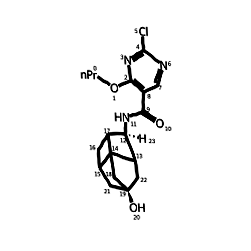 CCCOc1nc(Cl)ncc1C(=O)N[C@H]1C2CC3CC1C[C@@](O)(C3)C2